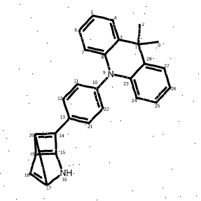 CC1(C)c2ccccc2N(c2ccc(-c3c4[nH]c5cc4c35)cc2)c2ccccc21